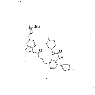 Cc1cc(CO[Si](C)(C)C(C)(C)C)ccc1NC(=O)CCCc1ccc(-c2ccccc2)c(NC(=O)OC2CCN(C)CC2)c1